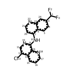 FC(F)c1ccc2c(Nc3ncc(Cl)c4cccnc34)ccnc2c1